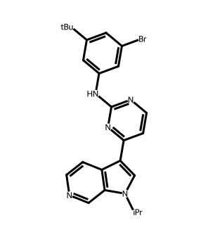 CC(C)n1cc(-c2ccnc(Nc3cc(Br)cc(C(C)(C)C)c3)n2)c2ccncc21